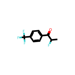 CC(F)C(=O)c1ccc(C(F)(F)F)cc1